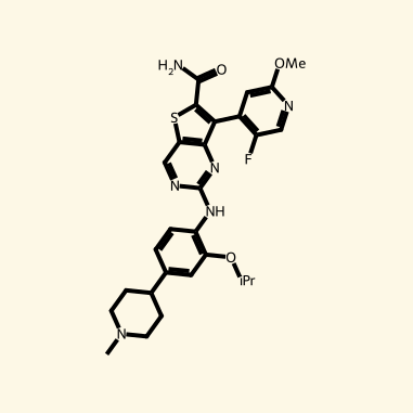 COc1cc(-c2c(C(N)=O)sc3cnc(Nc4ccc(C5CCN(C)CC5)cc4OC(C)C)nc23)c(F)cn1